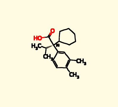 Cc1ccc([C@](C(=O)O)(C(C)C)C2CCCCC2)cc1C